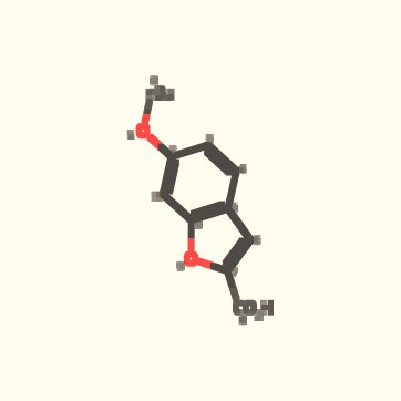 CCCCOc1ccc2cc(C(=O)O)oc2c1